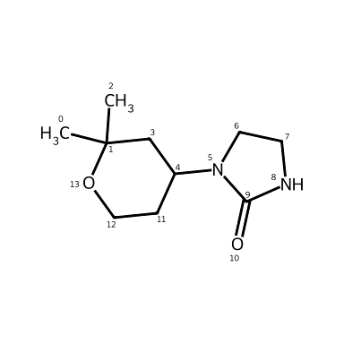 CC1(C)CC(N2CCNC2=O)CCO1